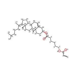 C=CC(=O)OCCCCCC(=O)O[C@H]1CC[C@@]2(C)C(=CCC3C4CCC(C(C)CCCC(C)C)[C@@]4(C)CCC32)C1